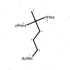 CCCCCCC(C)(CCCCC)CCCNC(C)=O